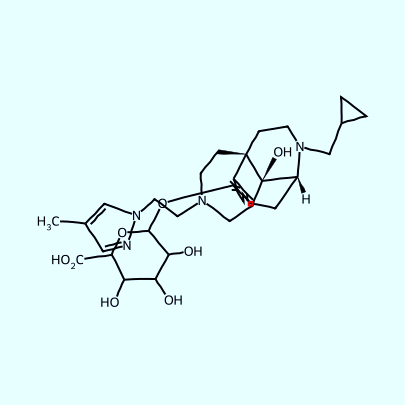 Cc1cnn(CCN2CC[C@]34CCN(CC5CC5)[C@H](Cc5ccc(OC6OC(C(=O)O)C(O)C(O)C6O)cc53)[C@]4(O)CC2)c1